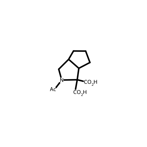 CC(=O)N1CC2CCCC2C1(C(=O)O)C(=O)O